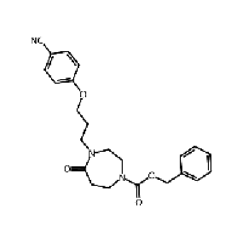 N#Cc1ccc(OCCCN2CCN(C(=O)OCc3ccccc3)CCC2=O)cc1